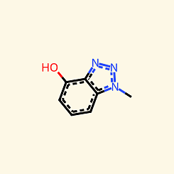 Cn1nnc2c(O)cccc21